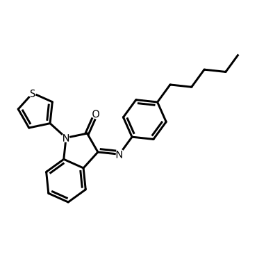 CCCCCc1ccc(/N=C2\C(=O)N(c3ccsc3)c3ccccc32)cc1